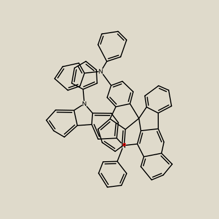 c1ccc(N(c2ccccc2)c2ccc3c(c2)-c2ccccc2C32c3ccccc3-c3cc4ccccc4c(N(c4ccccc4)c4ccc5c(c4)c4ccccc4n5-c4ccccc4)c32)cc1